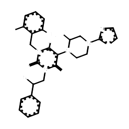 Cc1c(N2CCN(c3nccs3)CC2C)c(=O)n(CC(N)c2ccccc2)c(=O)n1Cc1c(F)cccc1C(F)(F)F